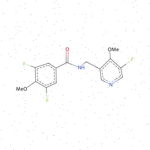 COc1c(F)cc(C(=O)NCc2cncc(F)c2OC)cc1F